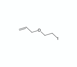 C=CCOCCI